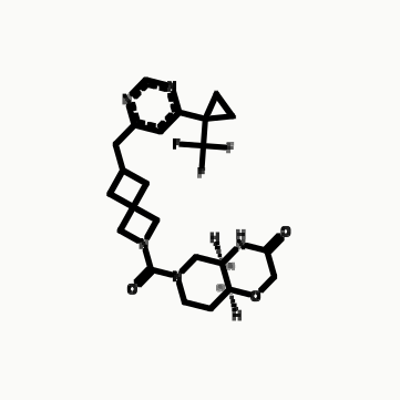 O=C1CO[C@H]2CCN(C(=O)N3CC4(CC(Cc5cc(C6(C(F)(F)F)CC6)ncn5)C4)C3)C[C@H]2N1